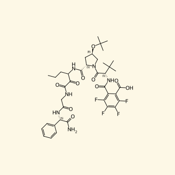 CCCC(NC(=O)[C@@H]1C[C@@H](OC(C)(C)C)CN1C(=O)[C@@H](NC(=O)c1c(F)c(F)c(F)c(F)c1C(=O)O)C(C)(C)C)C(=O)C(=O)NCC(=O)N[C@H](C(N)=O)c1ccccc1